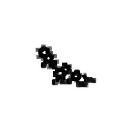 CC(=O)OC[C@H]1O[C@@H](n2cnc3c(N4CC5(Cc6ccccc6C5=O)C4)nc(Cl)nc32)[C@H](OC(C)=O)[C@@H]1OC(C)=O